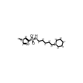 Cn1cnc(S(=O)(=O)NCCCCCN2CCCCC2)c1